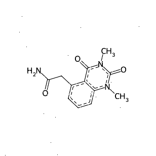 Cn1c(=O)c2c(CC(N)=O)cccc2n(C)c1=O